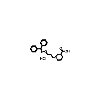 Cl.O=C(O)C1CCCN(CCCON=C(c2ccccc2)c2ccccc2)C1